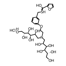 Cl.OC[C@@H](O)[C@@H](O)[C@H](O)[C@@H](O)CN(CCOc1cccc(C[SH]=C(O)c2ccco2)c1)C[C@H](O)[C@@H](O)[C@H](O)[C@H](O)CO